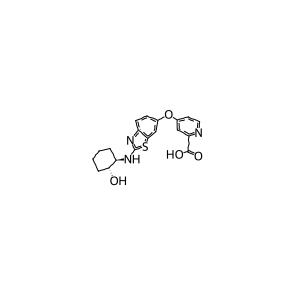 O=C(O)c1cc(Oc2ccc3nc(N[C@@H]4CCCC[C@H]4O)sc3c2)ccn1